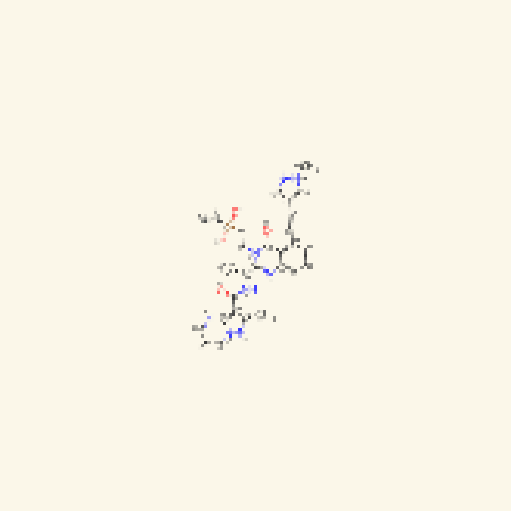 CNS(=O)(=O)CCn1c([C@H](C)NC(=O)c2c(C)nn3cccnc23)nc2cccc(C#Cc3cnn(C)c3)c2c1=O